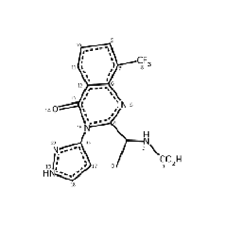 CC(NC(=O)O)c1nc2c(C(F)(F)F)cccc2c(=O)n1-c1cc[nH]n1